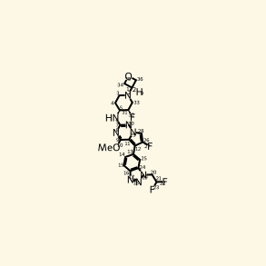 [2H]C1(N2CC[C@H](Nc3nc(OC)c4c(-c5ccc6nnn(CC(F)F)c6c5)c(F)cn4n3)[C@H](F)C2)COC1